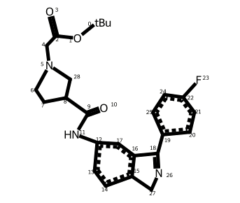 CC(C)(C)OC(=O)CN1CCC(C(=O)Nc2ccc3c(c2)C(c2ccc(F)cc2)=NC3)C1